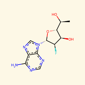 C[C@H](O)[C@H]1O[C@@H](n2cnc3c(N)ncnc32)[C@H](F)[C@@H]1O